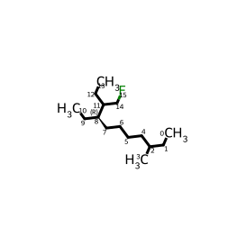 CCC(C)CCCC[C@@H](CC)C(CC)CF